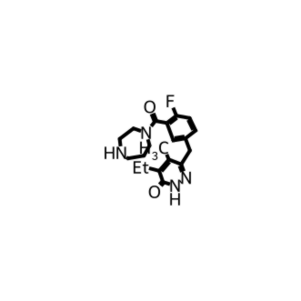 CCc1c(C)c(Cc2ccc(F)c(C(=O)N3CCCNCC3)c2)n[nH]c1=O